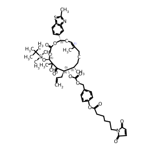 C=CC[C@H]1C(=O)C(C)(C)[C@@H](O[Si](C)(C)C(C)(C)C)CC(=O)O[C@H](c2ccc3sc(C)nc3c2)C/C=C(\C)CCC[C@H](C)[C@@H]1OC(=O)OCc1ccc(OC(=O)CCCCCN2C(=O)C=CC2=O)cc1